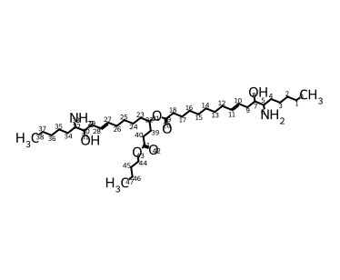 CCCCCC(N)C(O)CC=CCCCCCCCC(=O)OC(CCCCC=CCC(O)C(N)CCCCC)CCC(=O)OCCCC